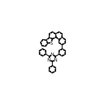 c1ccc(-c2nc(-c3ccccc3)nc(-c3cccc(-c4ccc5ccc6ccc7c8ccccc8sc7c6c5c4)c3)n2)cc1